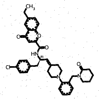 CCc1ccc2oc(C(=O)N[C@@H](C=C3CCN(c4ccccc4CN4CCCCC4=O)CC3)Cc3ccc(Cl)cc3)cc(=O)c2c1